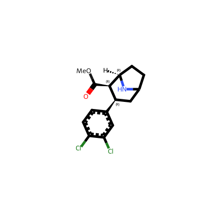 COC(=O)[C@H]1[C@H]2CCC(C[C@H]1c1ccc(Cl)c(Cl)c1)N2